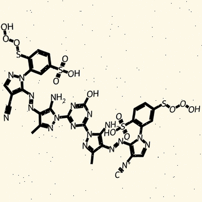 [C-]#[N+]c1cnn(-c2cc(SOOO)ccc2S(=O)(=O)O)c1N=Nc1c(C)nn(-c2nc(O)nc(-n3nc(C)c(N=Nc4c(C#N)cnn4-c4cc(S(=O)(=O)O)ccc4SOOO)c3N)n2)c1N